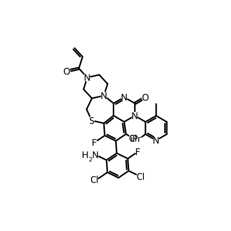 C=CC(=O)N1CCN2c3nc(=O)n(-c4c(C)ccnc4C(C)C)c4c(Cl)c(-c5c(N)c(Cl)cc(Cl)c5F)c(F)c(c34)SCC2C1